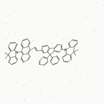 CC1(C)c2ccccc2N(c2ccc3c(c2)C(c2ccccc2)(c2ccccc2)c2cc(/C=C/c4c5ccccc5c(N5c6ccccc6C(C)(C)c6ccccc65)c5ccccc45)ccc2-3)c2ccccc21